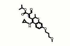 COCCCOc1ccc2c(c1)SC(C)C(/C=C(\C=O)C(=O)OC(C)C)=C2NC1CC1